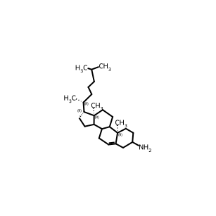 CC(C)CCC[C@@H](C)[C@H]1CCC2C3CC=C4CC(N)CC[C@]4(C)C3CC[C@@]21C